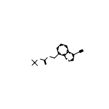 CC(C)(C)OC(=O)NCc1cccc2c(C#N)csc12